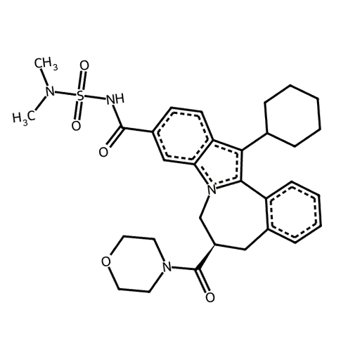 CN(C)S(=O)(=O)NC(=O)c1ccc2c(C3CCCCC3)c3n(c2c1)C[C@H](C(=O)N1CCOCC1)Cc1ccccc1-3